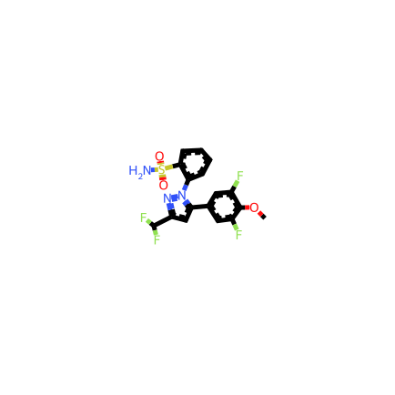 COc1c(F)cc(-c2cc(C(F)F)nn2-c2ccccc2S(N)(=O)=O)cc1F